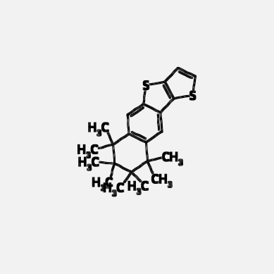 CC1(C)c2cc3sc4ccsc4c3cc2C(C)(C)C(C)(C)C1(C)C